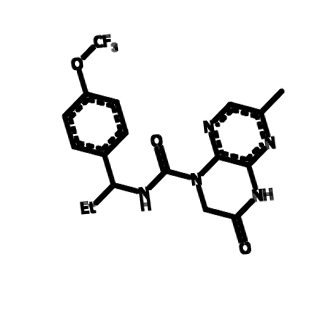 CCC(NC(=O)N1CC(=O)Nc2nc(C)cnc21)c1ccc(OC(F)(F)F)cc1